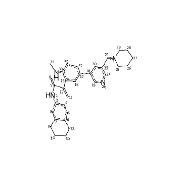 C=C(Nc1ccc2c(c1)CCCC2)C(=C)c1cc(-c2cncc(CN3CCCCC3)c2)ccc1NC